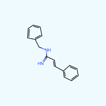 N=C(/C=C/c1ccccc1)NCc1ccccc1